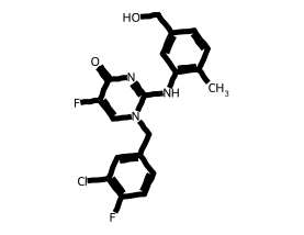 Cc1ccc(CO)cc1Nc1nc(=O)c(F)cn1Cc1ccc(F)c(Cl)c1